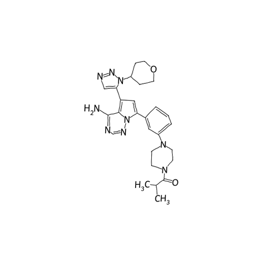 CC(C)C(=O)N1CCN(c2cccc(-c3cc(-c4cnnn4C4CCOCC4)c4c(N)ncnn34)c2)CC1